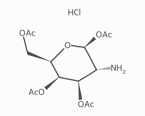 CC(=O)OC[C@H]1O[C@@H](OC(C)=O)[C@H](N)[C@@H](OC(C)=O)[C@H]1OC(C)=O.Cl